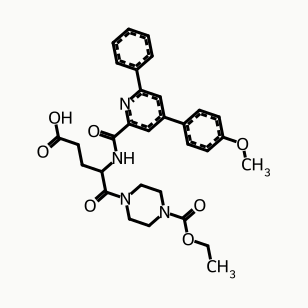 CCOC(=O)N1CCN(C(=O)C(CCC(=O)O)NC(=O)c2cc(-c3ccc(OC)cc3)cc(-c3ccccc3)n2)CC1